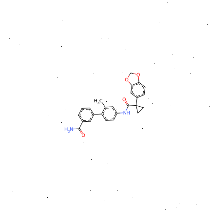 Cc1cc(NC(=O)C2(c3ccc4c(c3)OCO4)CC2)ccc1-c1cccc(C(N)=O)c1